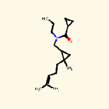 CCCN(CC1CC1(C)CCC=C(C)C)C(=O)C1CC1